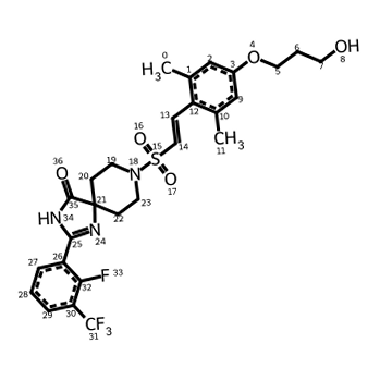 Cc1cc(OCCCO)cc(C)c1/C=C/S(=O)(=O)N1CCC2(CC1)N=C(c1cccc(C(F)(F)F)c1F)NC2=O